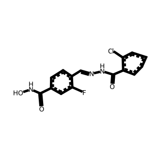 O=C(NO)c1ccc(/C=N/NC(=O)c2ccccc2Cl)c(F)c1